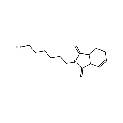 O=C1C2C=CCCC2C(=O)N1CCCCCCO